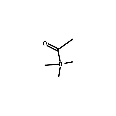 CC(=O)[B-](C)(C)C